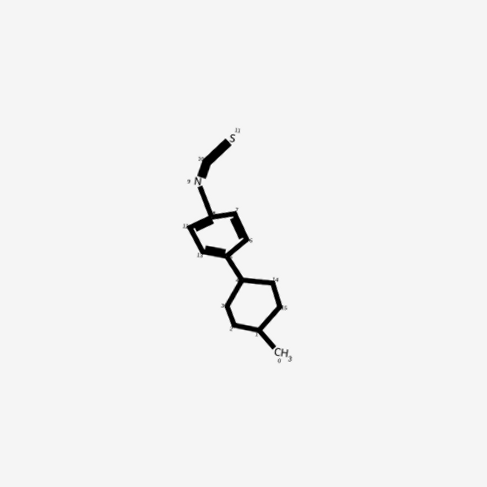 CC1CCC(c2ccc(N=C=S)cc2)CC1